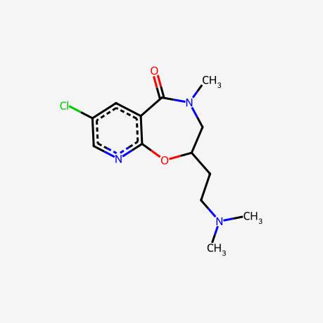 CN(C)CCC1CN(C)C(=O)c2cc(Cl)cnc2O1